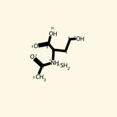 CC(=O)NC(CCO)C(=O)O.S